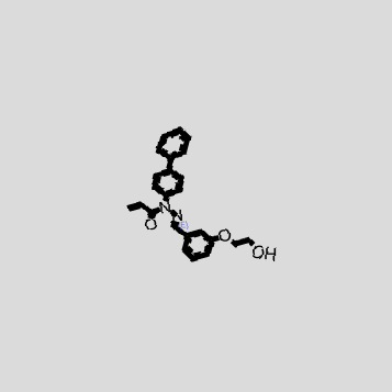 C=CC(=O)N(/N=C/c1cccc(OCCO)c1)c1ccc(-c2ccccc2)cc1